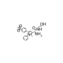 Cc1c(C(N)C(=O)NCCO)cc(-c2ccc(S(C)(=O)=O)cc2)n1-c1ccccc1